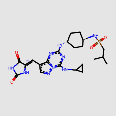 CC(C)CS(=O)(=O)N[C@H]1CC[C@H](Nc2nc(NC3CC3)n3ncc(/C=C4\NC(=O)NC4=O)c3n2)CC1